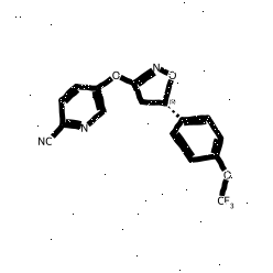 N#Cc1ccc(OC2=NO[C@H](c3ccc(OC(F)(F)F)cc3)C2)cn1